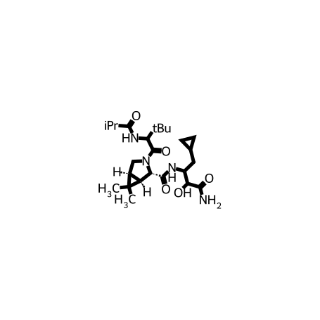 CC(C)C(=O)NC(C(=O)N1C[C@H]2[C@@H]([C@H]1C(=O)NC(CC1CC1)C(O)C(N)=O)C2(C)C)C(C)(C)C